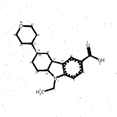 CCN1c2ccc(C(=O)O)cc2C2C[C@H](C3CCOCC3)CCC21